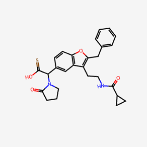 O=C(NCCc1c(Cc2ccccc2)oc2ccc(C(C(O)=S)N3CCCC3=O)cc12)C1CC1